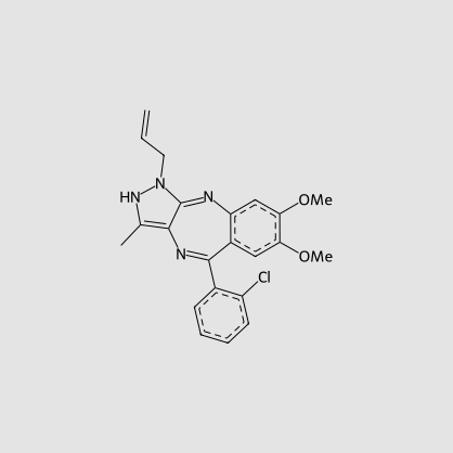 C=CCN1NC(C)=C2N=C(c3ccccc3Cl)c3cc(OC)c(OC)cc3N=C21